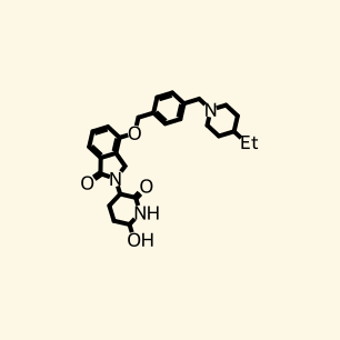 CCC1CCN(Cc2ccc(COc3cccc4c3CN(C3CCC(O)NC3=O)C4=O)cc2)CC1